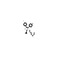 O=C1CC(O)CC(CCn2c(C3CC3)nc(-c3ccc(F)cc3)c2-c2ccc(F)cc2)O1